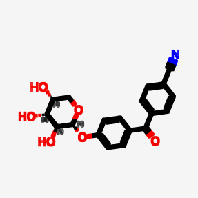 N#Cc1ccc(C(=O)c2ccc(O[C@H]3OC[C@@H](O)[C@@H](O)[C@@H]3O)cc2)cc1